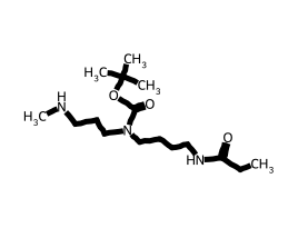 CCC(=O)NCCCCN(CCCNC)C(=O)OC(C)(C)C